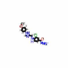 [N-]=[N+]=NC(=O)c1ccc(NCc2ncn(-c3ccc(OC(F)(F)F)cc3)n2)c(Cl)c1